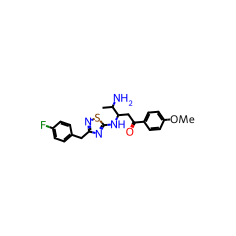 COc1ccc(C(=O)CC(Nc2nc(Cc3ccc(F)cc3)ns2)C(C)N)cc1